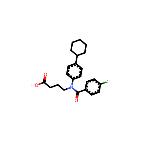 O=C(O)CCCN(C(=O)c1ccc(Cl)cc1)c1ccc(C2CCCCC2)cc1